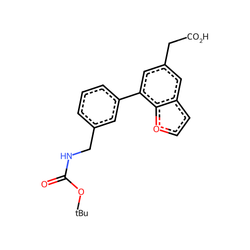 CC(C)(C)OC(=O)NCc1cccc(-c2cc(CC(=O)O)cc3ccoc23)c1